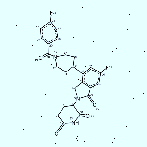 O=C1CCC(N2Cc3c(cc(F)cc3C3CCN(C(=O)c4ccc(F)cc4)CC3)C2=O)C(=O)N1